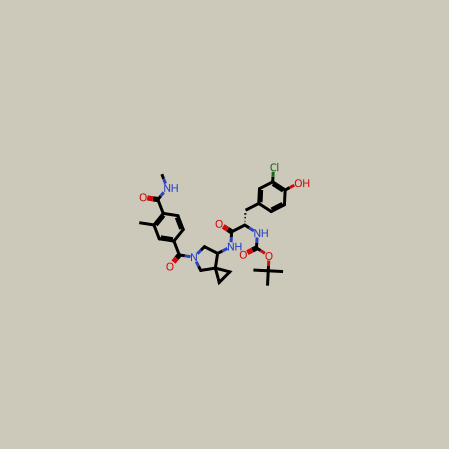 CNC(=O)c1ccc(C(=O)N2CC(NC(=O)[C@H](Cc3ccc(O)c(Cl)c3)NC(=O)OC(C)(C)C)C3(CC3)C2)cc1C